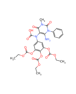 CCOC(=O)Oc1cc(N(C(=O)O)c2c(N)n(-c3ccccc3)c(=O)n(C)c2=O)cc(OC(=O)OCC)c1OC(=O)OCC